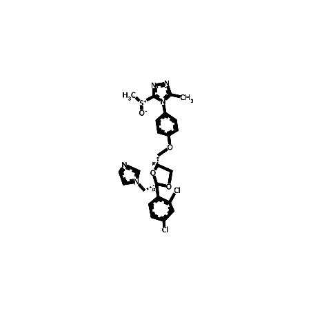 Cc1nnc([S+](C)[O-])n1-c1ccc(OC[C@@H]2CO[C@@](Cn3ccnc3)(c3ccc(Cl)cc3Cl)O2)cc1